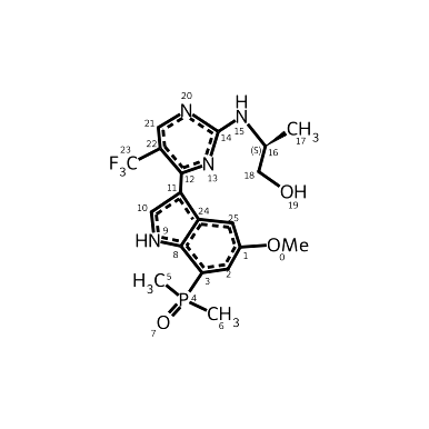 COc1cc(P(C)(C)=O)c2[nH]cc(-c3nc(N[C@@H](C)CO)ncc3C(F)(F)F)c2c1